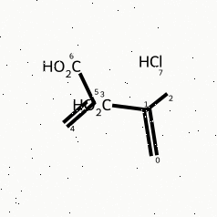 C=C(C)C(=O)O.C=CC(=O)O.Cl